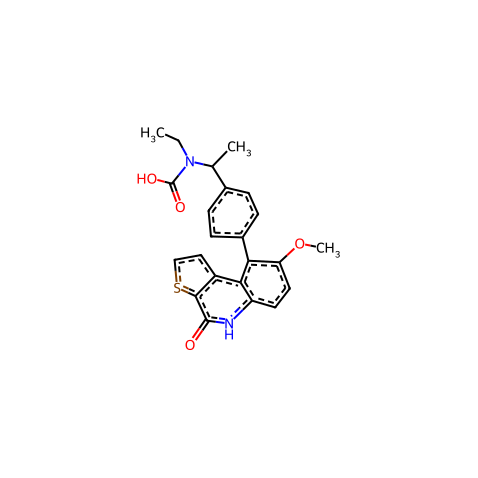 CCN(C(=O)O)C(C)c1ccc(-c2c(OC)ccc3[nH]c(=O)c4sccc4c23)cc1